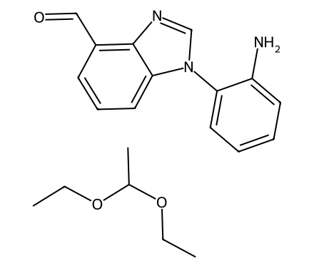 CCOC(C)OCC.Nc1ccccc1-n1cnc2c(C=O)cccc21